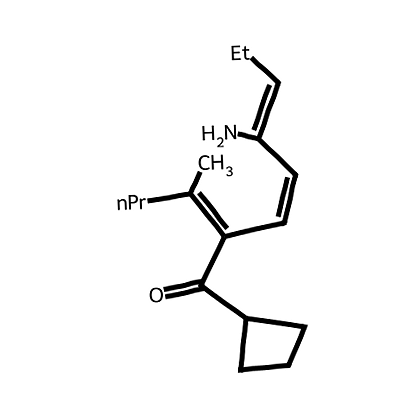 CC/C=C(N)/C=C\C(C(=O)C1CCC1)=C(/C)CCC